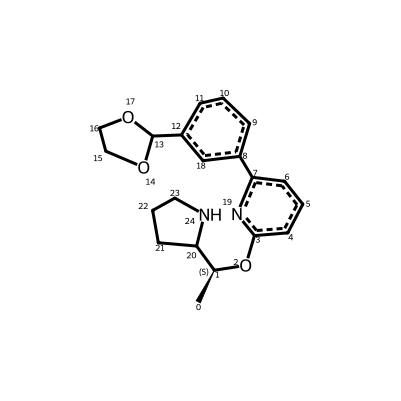 C[C@H](Oc1cccc(-c2cccc(C3OCCO3)c2)n1)C1CCCN1